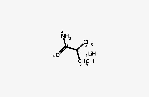 CC(C)C(N)=O.Cl.[LiH]